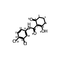 O=C1CCCC(O)=C1C(=O)Nc1ccc(Cl)c(Cl)c1